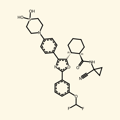 N#CC1(NC(=O)[C@@H]2CCCC[C@H]2c2oc(-c3cccc(OC(F)F)c3)nc2-c2ccc(N3CCS(O)(O)CC3)cc2)CC1